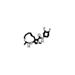 CC1CCCC/C=C/Cc2c(cn(C)c2C(=O)Nc2ccc(F)c(F)c2)SN1